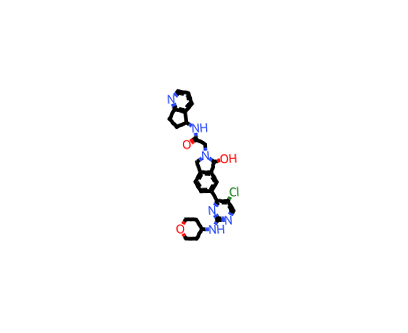 O=C(CN1Cc2ccc(-c3nc(NC4CCOCC4)ncc3Cl)cc2C1O)NC1CCc2ncccc21